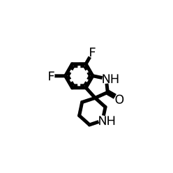 O=C1Nc2c(F)cc(F)cc2C12CCCNC2